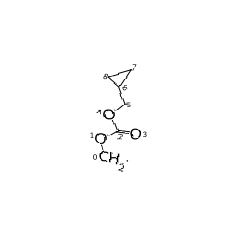 [CH2]OC(=O)OCC1CC1